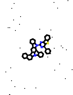 c1ccc(-c2nc(-n3c4ccccc4c4cc5c6c7ccccc7ccc6n6c7ccccc7c(c43)c56)nc3c2sc2ccccc23)cc1